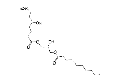 C=CCCCCCCCC(=O)OCC(O)COC(=O)CCCC(O)CCCCCCCCCCCC